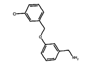 NCc1cccc(OCc2cccc(Cl)c2)c1